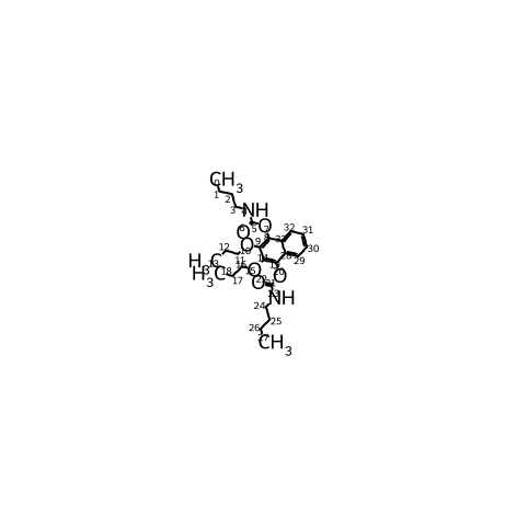 CCCCNC(=O)Oc1c(OCCC)c(OCCC)c(OC(=O)NCCCC)c2ccccc12